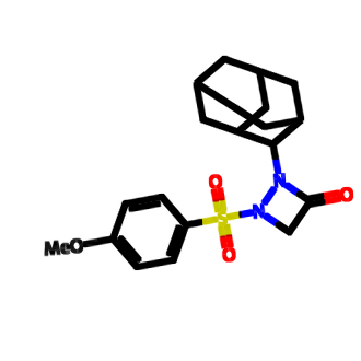 COc1ccc(S(=O)(=O)N2CC(=O)N2C2C3CC4CC(C3)CC2C4)cc1